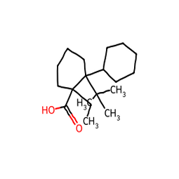 CCC1(C(=O)O)CCCCC1(C1CCCCC1)C(C)(C)C